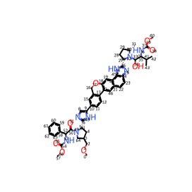 COCC1C[C@@H](c2ncc(-c3ccc4c(c3)COc3cc5c(ccc6nc([C@@H]7CC[C@H](C)N7C(O)[C@@H](NC(=O)OC)C(C)C)[nH]c65)cc3-4)[nH]2)N(C(=O)C(NC(=O)OC)c2ccccc2)C1